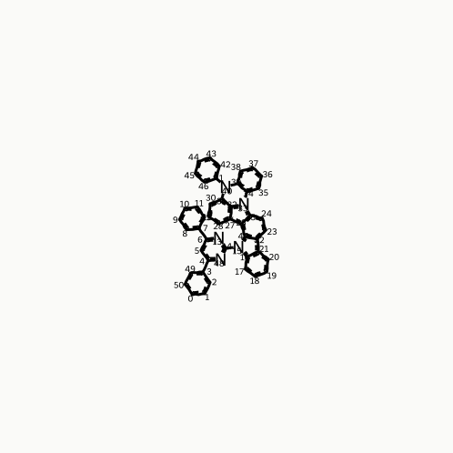 c1ccc(-c2cc(-c3ccccc3)nc(-n3c4ccccc4c4ccc5c(c6cccc7c6n5-c5ccccc5N7c5ccccc5)c43)n2)cc1